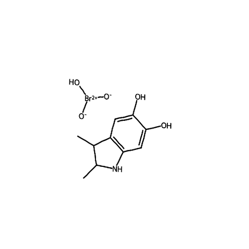 CC1Nc2cc(O)c(O)cc2C1C.[O-][Br+2]([O-])O